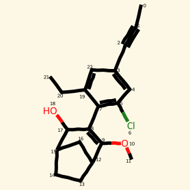 CC#Cc1cc(Cl)c(C2=C(OC)C3CCC(C3)C2O)c(CC)c1